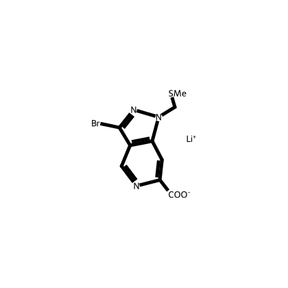 CSCn1nc(Br)c2cnc(C(=O)[O-])cc21.[Li+]